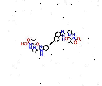 COC(=O)N[C@H](C(=O)N1[C@@H](C)CC[C@H]1c1nc2ccc3cc(C#Cc4ccc5[nH]c([C@@H]6CC[C@H](C)N6C(=O)[C@@H](NC(=O)O)C(C)C)nc5c4)ccc3c2[nH]1)C(C)C